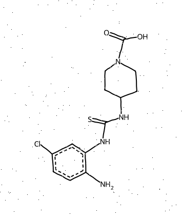 Nc1ccc(Cl)cc1NC(=S)NC1CCN(C(=O)O)CC1